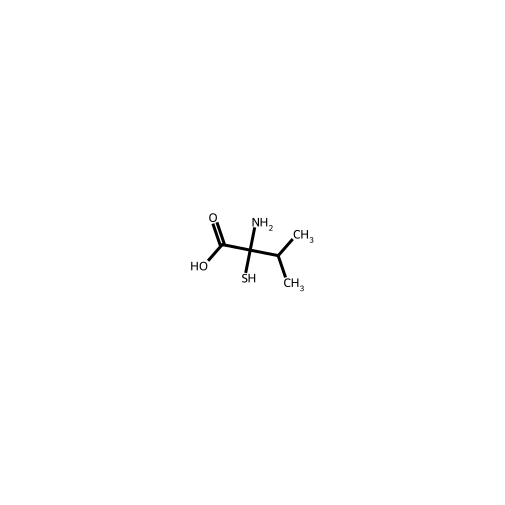 CC(C)C(N)(S)C(=O)O